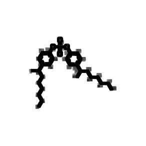 CCCCCCC(C)c1ccc(OS(=O)(=O)Oc2ccc(C(C)CCCCCC)cc2)cc1